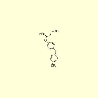 CCC[C@@H](CCO)Oc1ccc(Oc2ccc(C(F)(F)F)cc2)cc1